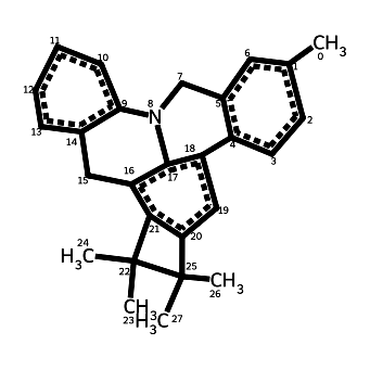 Cc1ccc2c(c1)CN1c3ccccc3Cc3c1c-2cc1c3C(C)(C)C1(C)C